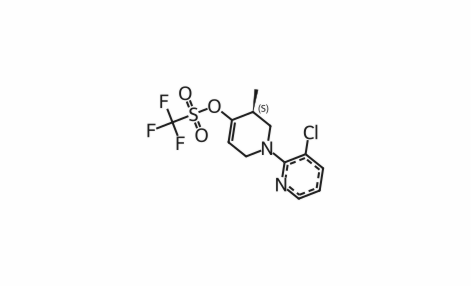 C[C@H]1CN(c2ncccc2Cl)CC=C1OS(=O)(=O)C(F)(F)F